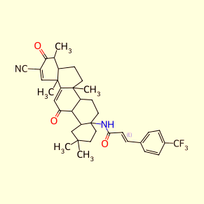 CC1C(=O)C(C#N)=CC2(C)C3=CC(=O)C4C5CC(C)(C)CCC5(NC(=O)/C=C/c5ccc(C(F)(F)F)cc5)CCC4C3(C)CCC12